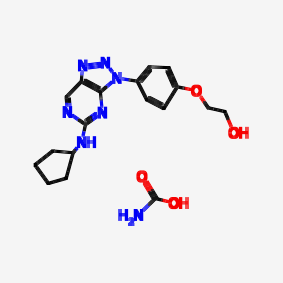 NC(=O)O.OCCOc1ccc(-n2nnc3cnc(NC4CCCC4)nc32)cc1